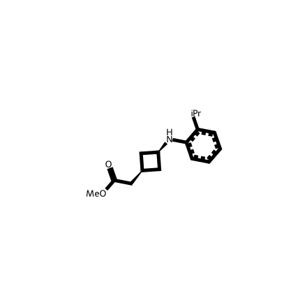 COC(=O)C[C@H]1C[C@@H](Nc2ccccc2C(C)C)C1